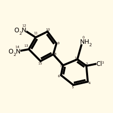 Nc1c(Cl)cccc1-c1ccc([N+](=O)[O-])c([N+](=O)[O-])c1